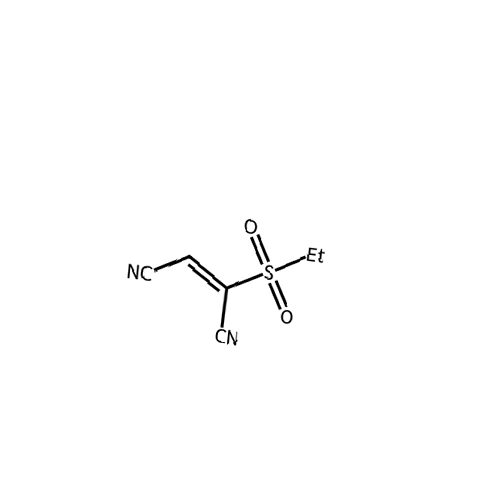 CCS(=O)(=O)C(C#N)=CC#N